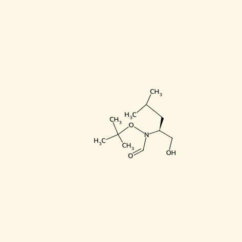 CC(C)C[C@@H](CO)N(C=O)OC(C)(C)C